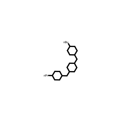 CCCCC1CCC(CC2CCC(CC3CCC(CCC)CC3)CC2)CC1